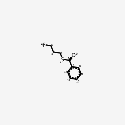 O=C(SCCCF)c1ccccc1